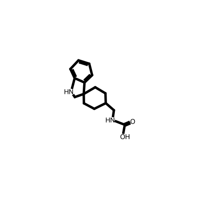 O=C(O)NCC1CCC2(CC1)CNc1ccccc12